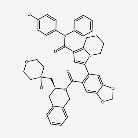 O=C(c1cc(-c2cc3c(cc2C(=O)N2Cc4ccccc4C[C@H]2C[N+]2([O-])CCOCC2)OCO3)n2c1CCCC2)N(c1ccccc1)c1ccc(O)cc1